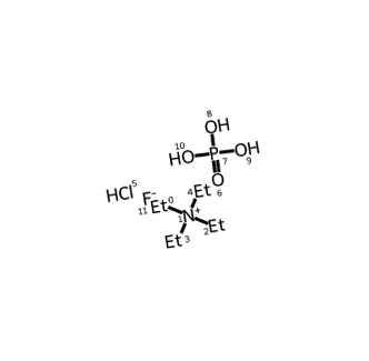 CC[N+](CC)(CC)CC.Cl.O=P(O)(O)O.[F-]